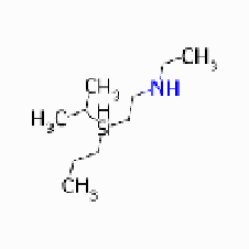 CCC[SiH](CCNCC)C(C)C